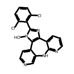 On1c(-c2c(Cl)cccc2Cl)nc2c1-c1ccncc1Nc1ncccc1-2